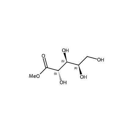 COC(=O)[C@@H](O)[C@@H](O)[C@H](O)CO